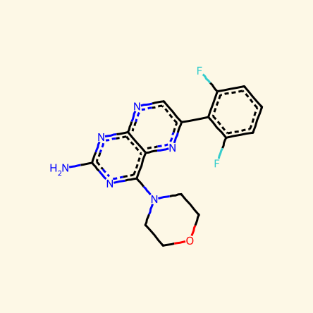 Nc1nc(N2CCOCC2)c2nc(-c3c(F)cccc3F)cnc2n1